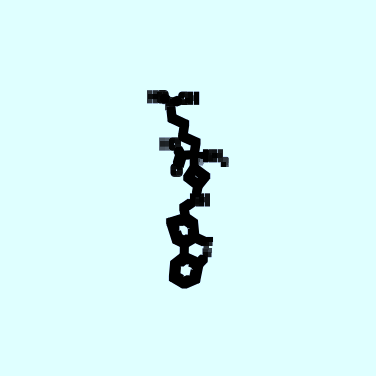 N[C@](CCCCB(O)O)(C(=O)O)C1CC(NCc2ccc(-c3ccccc3F)c(F)c2)C1